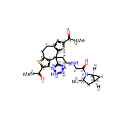 CNC(=O)c1cc2c(s1)CCc1cc(C(=O)NC)sc1C2(CCNCC(=O)N1[C@H](C#N)C[C@@H]2C[C@@H]21)c1nn[nH]n1